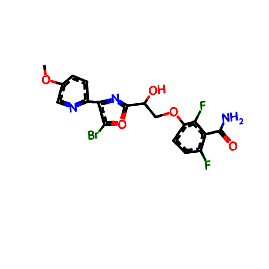 COc1ccc(-c2nc(C(O)COc3ccc(F)c(C(N)=O)c3F)oc2Br)nc1